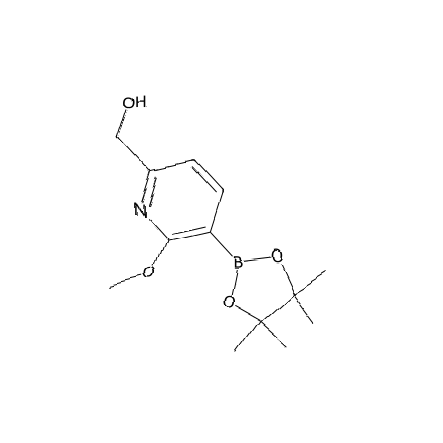 COc1nc(CO)ccc1B1OC(C)(C)C(C)(C)O1